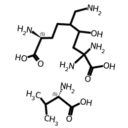 CC(C)[C@H](N)C(=O)O.NCC(CC[C@H](N)C(=O)O)C(O)CC(N)(N)C(=O)O